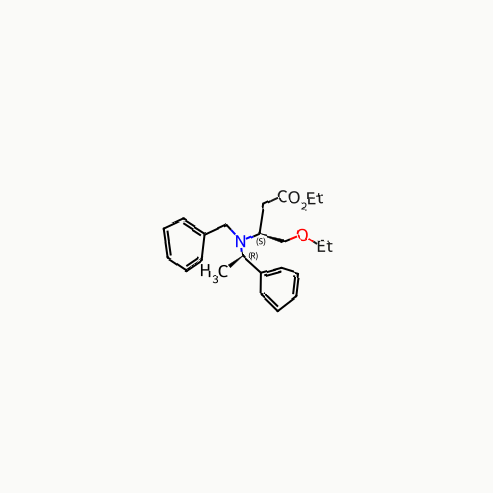 CCOC[C@H](CC(=O)OCC)N(Cc1ccccc1)[C@H](C)c1ccccc1